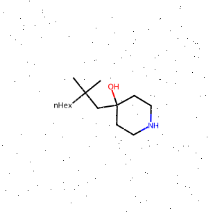 CCCCCCC(C)(C)CC1(O)CCNCC1